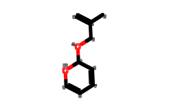 C=C(C)COC1C=CC=CO1